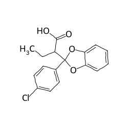 CCC(C(=O)O)C1(c2ccc(Cl)cc2)Oc2ccccc2O1